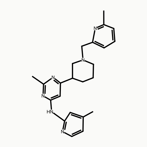 Cc1ccnc(Nc2cc(C3CCCN(Cc4cccc(C)n4)C3)nc(C)n2)c1